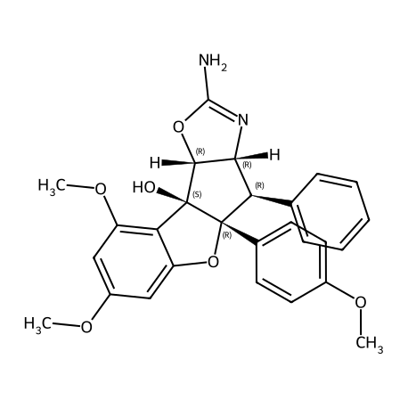 COc1ccc([C@@]23Oc4cc(OC)cc(OC)c4[C@]2(O)[C@@H]2OC(N)=N[C@@H]2[C@H]3c2ccccc2)cc1